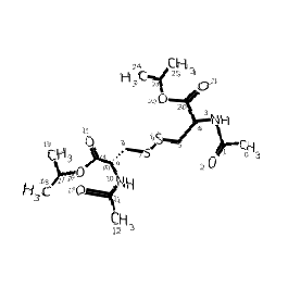 CC(=O)NC(CSSC[C@H](NC(C)=O)C(=O)OC(C)C)C(=O)OC(C)C